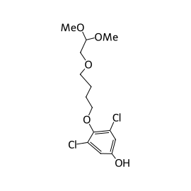 COC(COCCCCOc1c(Cl)cc(O)cc1Cl)OC